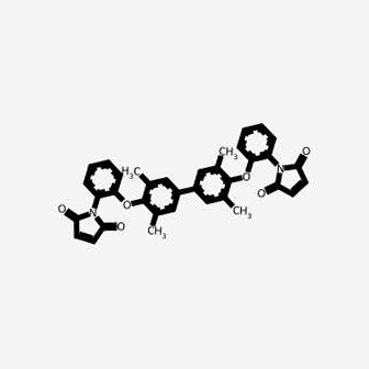 Cc1cc(-c2cc(C)c(Oc3ccccc3N3C(=O)C=CC3=O)c(C)c2)cc(C)c1Oc1ccccc1N1C(=O)C=CC1=O